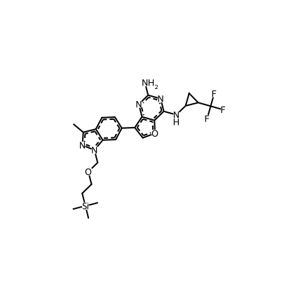 Cc1nn(COCC[Si](C)(C)C)c2cc(-c3coc4c(NC5CC5C(F)(F)F)nc(N)nc34)ccc12